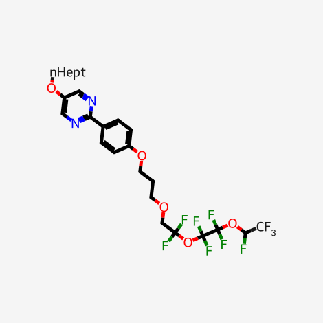 CCCCCCCOc1cnc(-c2ccc(OCCCOCC(F)(F)OC(F)(F)C(F)(F)OC(F)C(F)(F)F)cc2)nc1